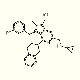 Cc1c(C)n(Cc2cccc(F)c2)c2c(N3CCc4ccccc4C3)nc(CNC3CC3)cc12.Cl